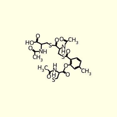 CC(=O)NC(CSC(=O)C(CSC(=O)c1ccc(C)cc1OC(=O)C(CS)NC(C)=O)NC(C)=O)C(=O)O